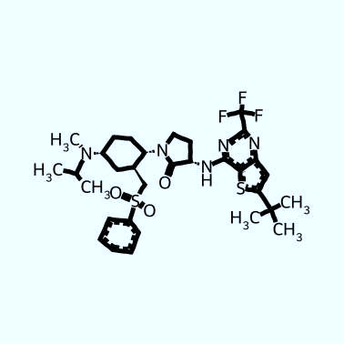 CC(C)N(C)[C@@H]1CC[C@H](N2CC[C@H](Nc3nc(C(F)(F)F)nc4cc(C(C)(C)C)sc34)C2=O)[C@@H](CS(=O)(=O)c2ccccc2)C1